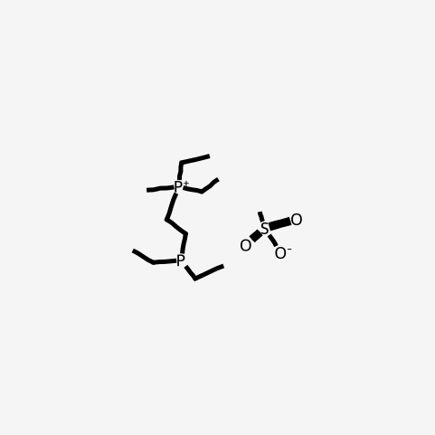 CCP(CC)CC[P+](C)(CC)CC.CS(=O)(=O)[O-]